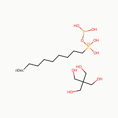 CCCCCCCCCCCCCCCCCC[PH](O)(O)OP(O)O.OCC(CO)(CO)CO